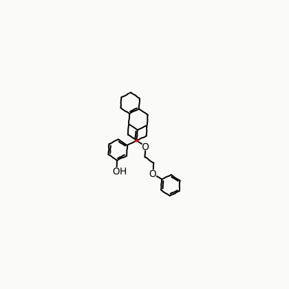 Oc1cccc(/C(OCCOc2ccccc2)=C2/C3CCCC2C2=C(CCCC2)C3)c1